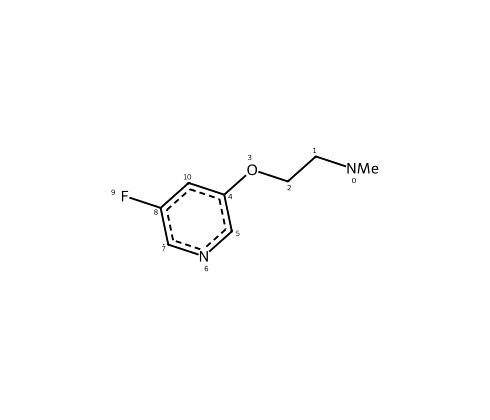 CNCCOc1cn[c]c(F)c1